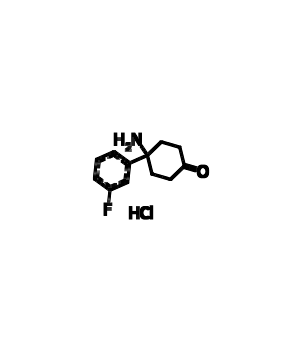 Cl.NC1(c2cccc(F)c2)CCC(=O)CC1